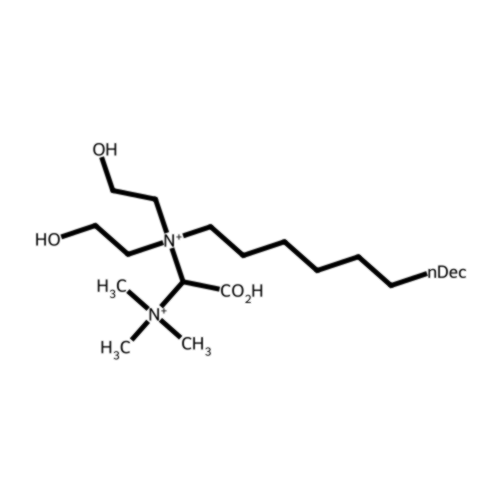 CCCCCCCCCCCCCCCC[N+](CCO)(CCO)C(C(=O)O)[N+](C)(C)C